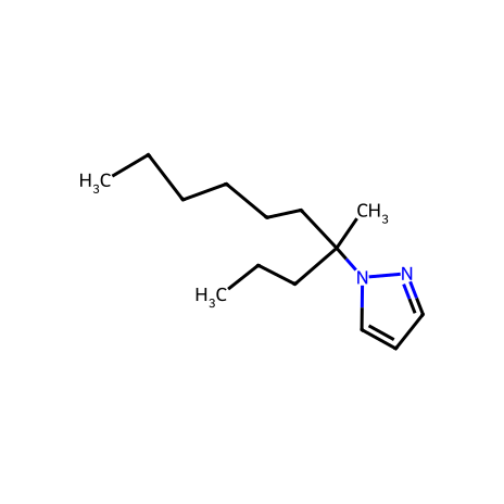 CCCCCCC(C)(CCC)n1cccn1